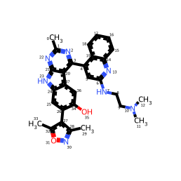 Cc1nc(-c2cc(NCCN(C)C)nc3ccccc23)c2c(n1)[nH]c1cc(-c3c(C)noc3C)c(O)cc12